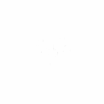 COc1ccccc1C(=O)Nc1cc(C(=O)O)c(Cl)c(C(C)C)c1